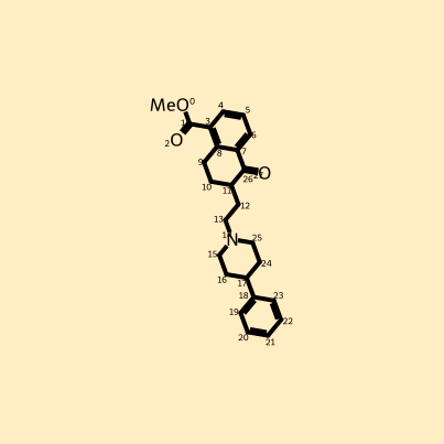 COC(=O)c1cccc2c1CCC(CCN1CCC(c3ccccc3)CC1)C2=O